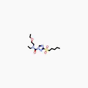 CCCCCS(=O)(=O)c1ncn(C(=O)N(CC)CCOCC)n1